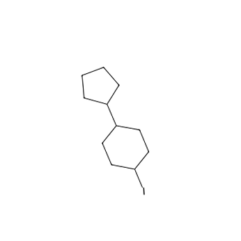 IC1CCC(C2CCCC2)CC1